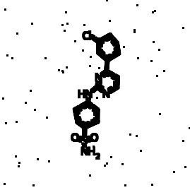 NS(=O)(=O)c1ccc(Nc2nccc(-c3cccc(Cl)c3)n2)cc1